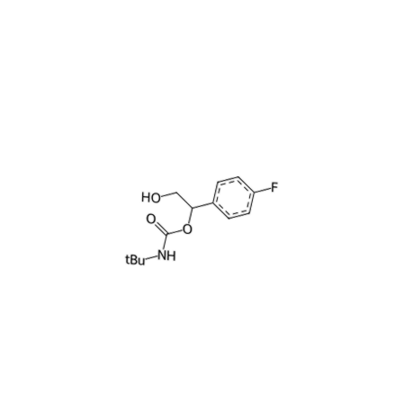 CC(C)(C)NC(=O)OC(CO)c1ccc(F)cc1